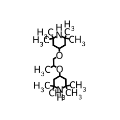 CC(COC1CC(C)(C)NC(C)(C)C1)OC1CC(C)(C)NC(C)(C)C1